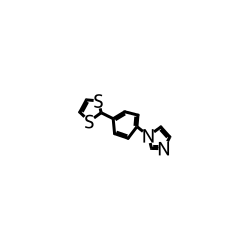 C1=CSC(c2ccc(-n3ccnc3)cc2)S1